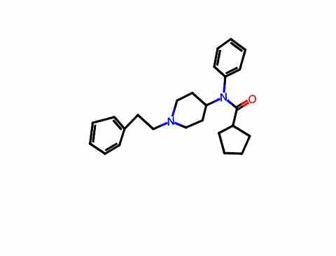 O=C(C1CCCC1)N(c1ccccc1)C1CCN(CCc2ccccc2)CC1